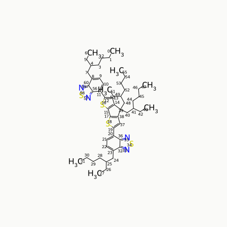 CCCCC(CC)Cc1ccc(-c2cc3c(s2)-c2sc(-c4ccc(CC(CC)CCCC)c5nsnc45)cc2C3(CC(CC)CCCC)CC(CC)CCCC)c2nsnc12